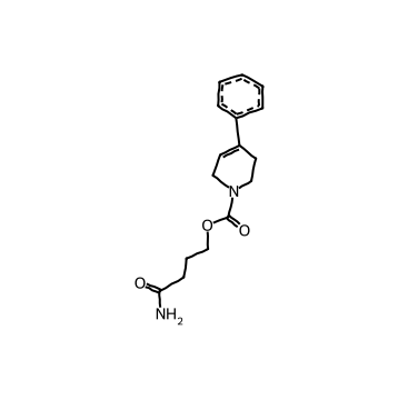 NC(=O)CCCOC(=O)N1CC=C(c2ccccc2)CC1